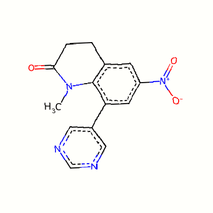 CN1C(=O)CCc2cc([N+](=O)[O-])cc(-c3cncnc3)c21